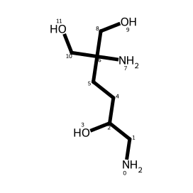 NCC(O)CCC(N)(CO)CO